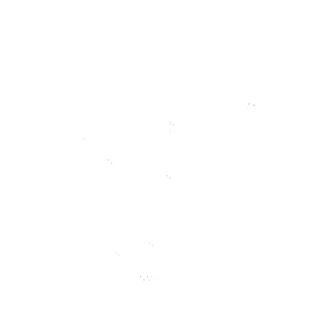 CNc1nccc(-c2cccnc2Oc2cc(C(=O)Nc3cc(OC)cc(C(F)(F)F)c3)cc(Br)n2)n1